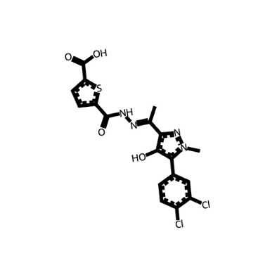 CC(=NNC(=O)c1ccc(C(=O)O)s1)c1nn(C)c(-c2ccc(Cl)c(Cl)c2)c1O